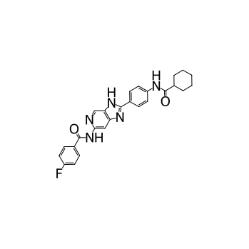 O=C(Nc1cc2nc(-c3ccc(NC(=O)C4CCCCC4)cc3)[nH]c2cn1)c1ccc(F)cc1